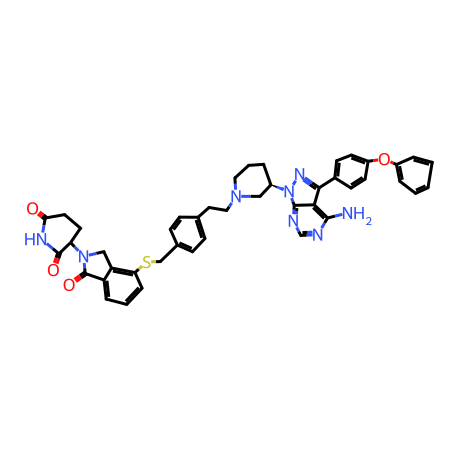 Nc1ncnc2c1c(-c1ccc(Oc3ccccc3)cc1)nn2[C@@H]1CCCN(CCc2ccc(CSc3cccc4c3CN(C3CCC(=O)NC3=O)C4=O)cc2)C1